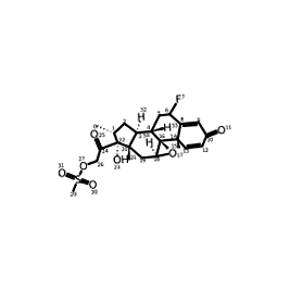 C[C@@H]1C[C@H]2[C@@H]3CC(F)C4=CC(=O)C=C[C@]4(C)[C@@]34O[C@H]4C[C@]2(C)[C@@]1(O)C(=O)COS(C)(=O)=O